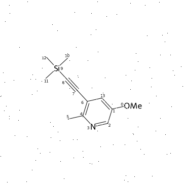 COc1cnc(C)c(C#C[Si](C)(C)C)c1